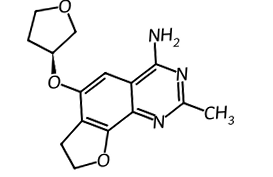 Cc1nc(N)c2cc(O[C@H]3CCOC3)c3c(c2n1)OCC3